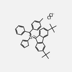 Cc1ccc(/[C](c2ccccc2)=[Zr+2](/[C]2=CC=CC2)[CH]2c3ccc(C(C)(C)C)cc3-c3cc(C(C)(C)C)ccc32)cc1.[Cl-].[Cl-]